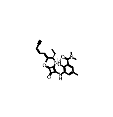 C#C/C=C\C=C(/C)[C@@H](CC)Nc1c(Nc2cc(C)cc(C(=O)N(C)C)c2O)c(=O)c1=O